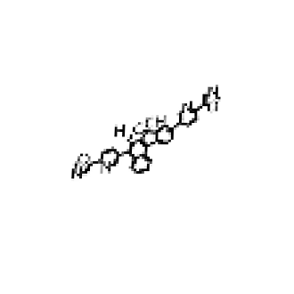 CC1(C)c2cc(-c3ccc(-c4cnco4)nc3)ccc2-c2c1cc(-c1ccc(-c3cnco3)nc1)c1ccccc21